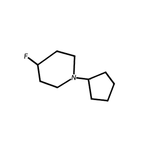 FC1CCN([C]2CCCC2)CC1